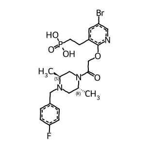 C[C@@H]1CN(Cc2ccc(F)cc2)[C@@H](C)CN1C(=O)COc1ncc(Br)cc1CCP(=O)(O)O